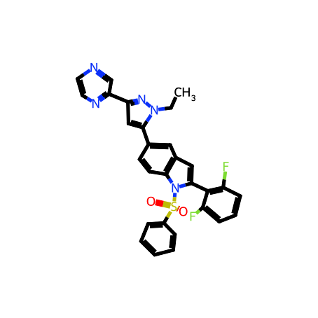 CCn1nc(-c2cnccn2)cc1-c1ccc2c(c1)cc(-c1c(F)cccc1F)n2S(=O)(=O)c1ccccc1